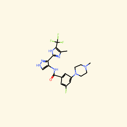 Cc1nc(-c2n[nH]cc2NC(=O)c2cc(F)cc(N3CCN(C)CC3)c2)[nH]c1C(F)(F)F